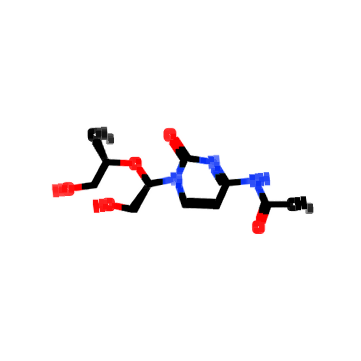 CC(=O)Nc1ccn([C@@H](CO)O[C@H](C)CO)c(=O)n1